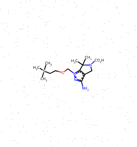 CC1(C)c2c(c(N)nn2COCC[Si](C)(C)C)CN1C(=O)O